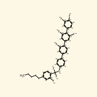 CCCCCc1ccc(C(F)(F)Oc2ccc(-c3ccc(-c4cc(F)c(-c5ccc(F)c(F)c5)c(F)c4)c(F)c3)cc2)c(F)c1